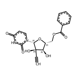 C#C[C@@]1(O)[C@H](O)[C@@H](COC(=O)c2ccccc2)O[C@H]1n1ccc(=O)[nH]c1=O